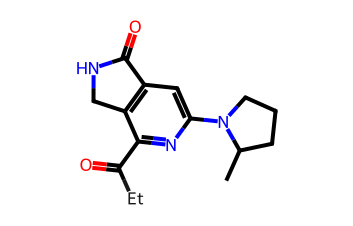 CCC(=O)c1nc(N2CCCC2C)cc2c1CNC2=O